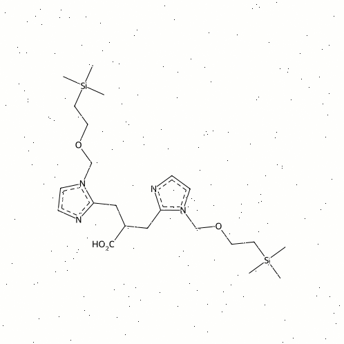 C[Si](C)(C)CCOCn1ccnc1CC(Cc1nccn1COCC[Si](C)(C)C)C(=O)O